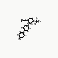 N#Cc1ccc(C(F)(F)F)nc1N1CC=C(c2ccc(F)cc2)CC1